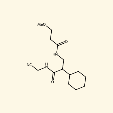 COCCC(=O)NCC(C(=O)NCC#N)C1CCCCC1